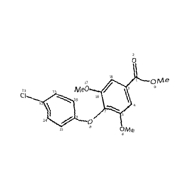 COC(=O)c1cc(OC)c(Oc2ccc(Cl)cc2)c(OC)c1